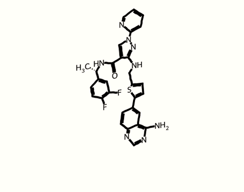 C[C@H](NC(=O)c1cn(-c2ccccn2)nc1NCc1ccc(-c2ccc3ncnc(N)c3c2)s1)c1ccc(F)c(F)c1